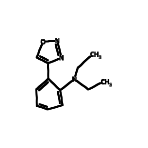 CCN(CC)c1ccccc1-c1conn1